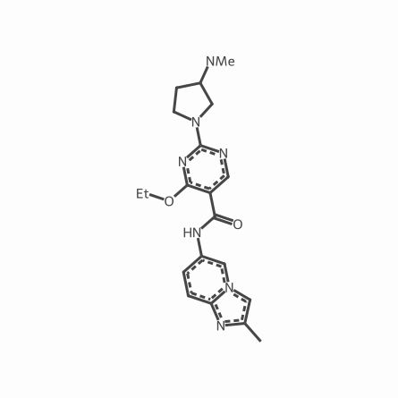 CCOc1nc(N2CCC(NC)C2)ncc1C(=O)Nc1ccc2nc(C)cn2c1